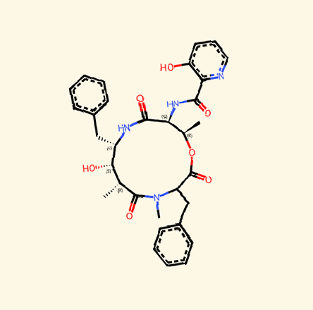 C[C@H]1OC(=O)C(Cc2ccccc2)N(C)C(=O)[C@H](C)[C@H](O)[C@H](Cc2ccccc2)NC(=O)[C@H]1NC(=O)c1ncccc1O